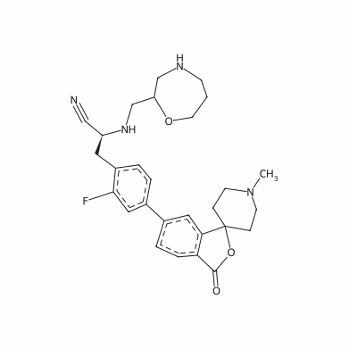 CN1CCC2(CC1)OC(=O)c1ccc(-c3ccc(C[C@@H](C#N)NCC4CNCCCO4)c(F)c3)cc12